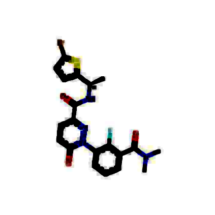 C[C@@H](NC(=O)c1ccc(=O)n(-c2cccc(C(=O)N(C)C)c2F)n1)c1ccc(Br)s1